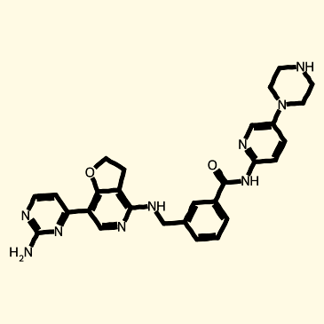 Nc1nccc(-c2cnc(NCc3cccc(C(=O)Nc4ccc(N5CCNCC5)cn4)c3)c3c2OCC3)n1